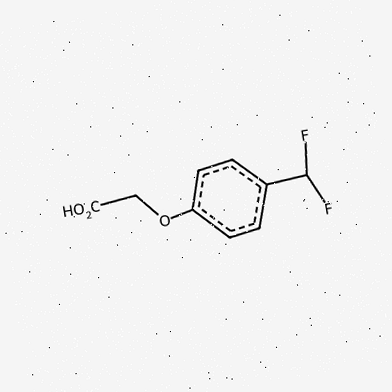 O=C(O)COc1ccc(C(F)F)cc1